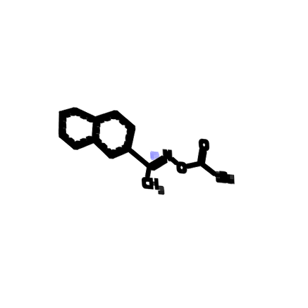 C/C(=N\OC(=O)C(C)(C)C)c1ccc2ccccc2c1